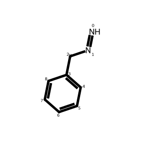 N=N[C]c1ccccc1